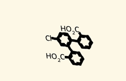 O=C(O)c1ccccc1-c1ccc(Cl)cc1-c1ccccc1C(=O)O